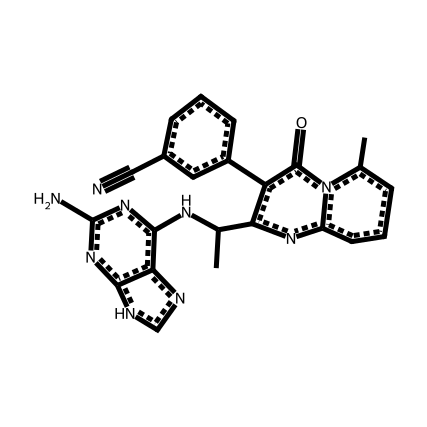 Cc1cccc2nc(C(C)Nc3nc(N)nc4[nH]cnc34)c(-c3cccc(C#N)c3)c(=O)n12